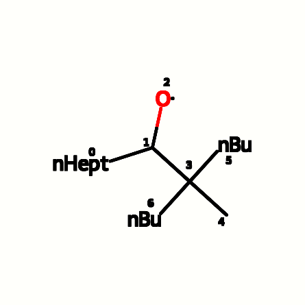 CCCCCCCC([O])C(C)(CCCC)CCCC